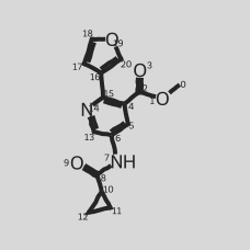 COC(=O)c1cc(NC(=O)C2CC2)cnc1-c1ccoc1